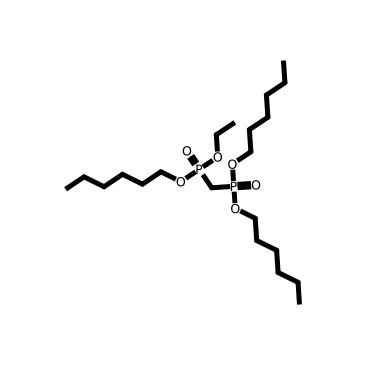 CCCCCCOP(=O)(CP(=O)(OCCCCCC)OCCCCCC)OCC